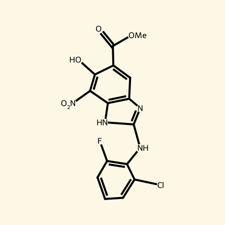 COC(=O)c1cc2nc(Nc3c(F)cccc3Cl)[nH]c2c([N+](=O)[O-])c1O